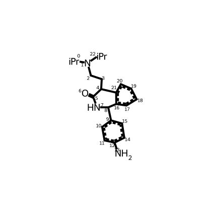 CC(C)N(CCC1C(=O)NC(c2ccc(N)cc2)c2ccccc21)C(C)C